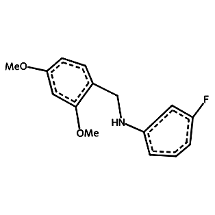 COc1ccc(CNc2cccc(F)c2)c(OC)c1